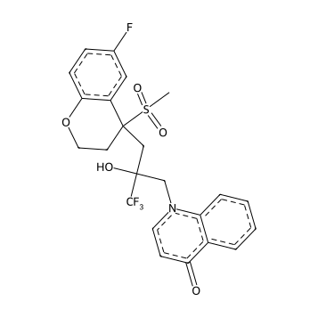 CS(=O)(=O)C1(CC(O)(Cn2ccc(=O)c3ccccc32)C(F)(F)F)CCOc2ccc(F)cc21